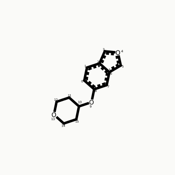 c1cc2cocc2cc1OC1CCOCC1